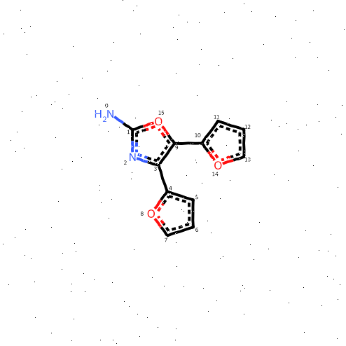 Nc1nc(-c2ccco2)c(-c2ccco2)o1